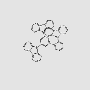 c1ccc(-n2c3ccccc3c3ccccc32)c(-c2cc(-n3c4ccccc4c4ccccc43)cc(-n3c4ccccc4c4ccccc43)c2)c1